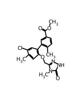 COC(=O)c1ccc(C)c(-c2cc(Cl)c(C)cc2OCc2n[nH]c(=O)n2C)c1